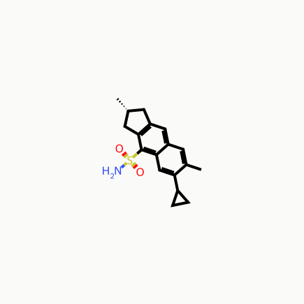 Cc1cc2cc3c(c(S(N)(=O)=O)c2cc1C1CC1)C[C@H](C)C3